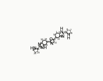 c1cc2[nH]c([C@@H]3CCCN3)nc2cc1-c1cnc(-c2ccc3nc([C@@H]4CCCN4)[nH]c3c2)o1